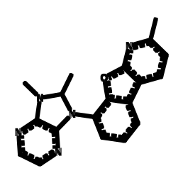 Cc1ccc2c(n1)oc1c(N3c4nccnc4N(C)C3C)cccc12